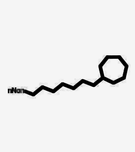 CCCCCCCCCCCCCCCCC1CCCCCC1